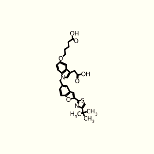 CC(C)(C)c1csc(-c2cc3cc(Cn4cc(CC(=O)O)c5cc(OCCCCC(=O)O)ccc54)ccc3o2)n1